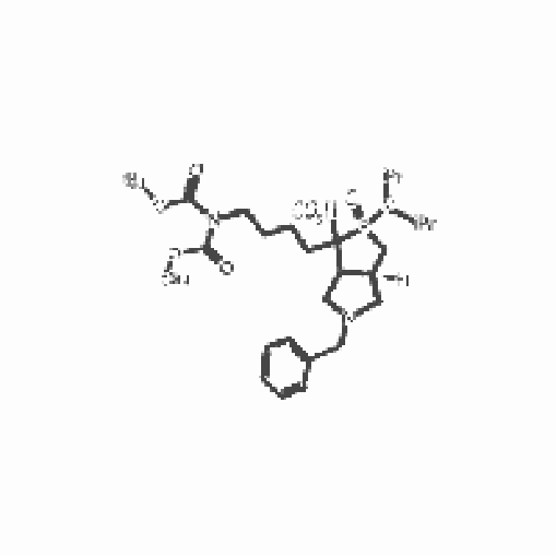 CC(C)N(C(C)C)P1(=O)C[C@@H]2CN(Cc3ccccc3)CC2C1(CCCCN(C(=O)OC(C)(C)C)C(=O)OC(C)(C)C)C(=O)O